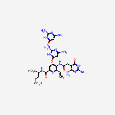 C=Cc1nc(C(=O)N[C@@H](CCC(=O)O)C(=O)O)ccc1NC(=O)Cc1c(N)nc(N)[nH]c1=O.Nc1cc(=O)[nH]c(N)n1.Nc1cc(=O)[nH]c(N)n1